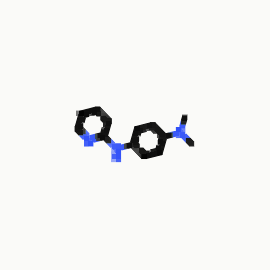 CN(C)c1ccc(Nc2cc[c]cn2)cc1